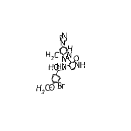 COc1ccc(C(O)CNc2cc[nH]c(=O)c2-c2nc3c(C)cc(-n4ccnc4)cc3[nH]2)cc1Br